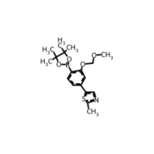 COCOc1cc(-c2cnc(C)s2)ccc1B1OC(C)(C)C(C)(C)O1